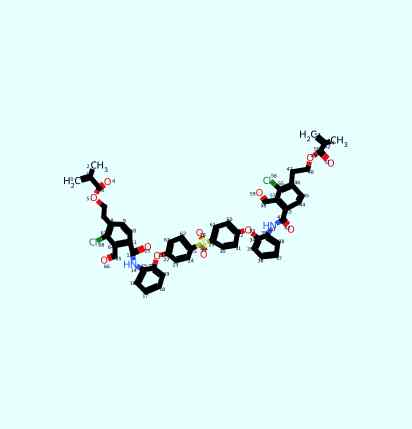 C=C(C)C(=O)OCCc1ccc(C(=O)Nc2ccccc2Oc2ccc(S(=O)(=O)c3ccc(Oc4ccccc4NC(=O)c4ccc(CCOC(=O)C(=C)C)c(Cl)c4C=O)cc3)cc2)c(C=O)c1Cl